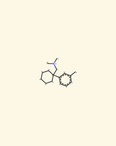 Cc1cccc(C2(CN(C)C)CCCCC2)c1